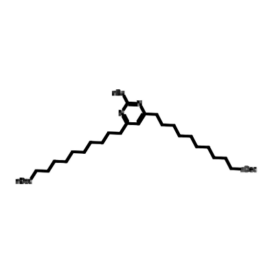 [CH2]CCCc1nc(CCCCCCCCCCCCCCCCCCCC)cc(CCCCCCCCCCCCCCCCCCCC)n1